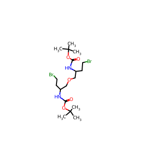 CC(C)(C)OC(=O)NC(CCBr)COCC(CCBr)NC(=O)OC(C)(C)C